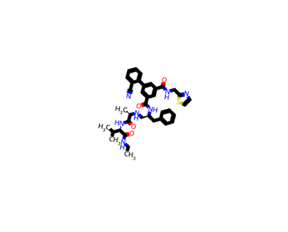 CCNC(=O)[C@@H](NC(=O)[C@H](C)NC[C@H](Cc1ccccc1)NC(=O)c1cc(C(=O)NCc2nccs2)cc(-c2ccccc2C#N)c1)C(C)C